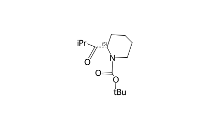 CC(C)C(=O)[C@@H]1CCCCN1C(=O)OC(C)(C)C